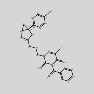 O=C(c1ccccc1)n1c(=O)c(I)cn(CCCN2CC3C[C@]3(c3ccc(F)cc3)C2)c1=O